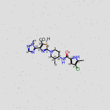 Cc1[nH]c(C(=O)N[C@@H]2CCN(c3nc(-c4ncnn4C)c(C(=O)O)s3)C[C@@H]2C)cc1Cl